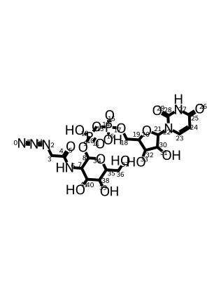 [N-]=[N+]=NCC(=O)NC1C(OP(=O)(O)OP(=O)(O)OCC2OC(n3ccc(=O)[nH]c3=O)C(O)C2O)OC(CO)C(O)C1O